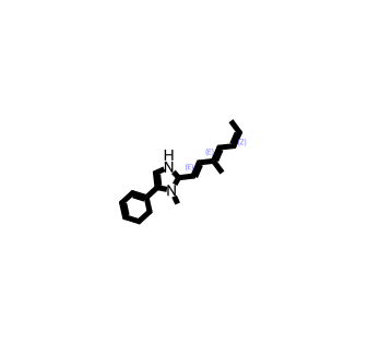 C\C=C/C=C(C)/C=C/C1NC=C(C2=CC=CCC2)N1C